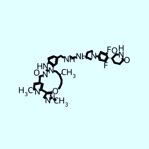 Cc1cc2cc(n1)-c1cnn(C)c1OCCC[C@@H](C)CN1/C(=N/C2=O)Nc2ccc(CNCCNC[C@@H]3CCN(c4cc(F)c([C@H]5CCC(=O)NC5=O)c(F)c4)C3)cc21